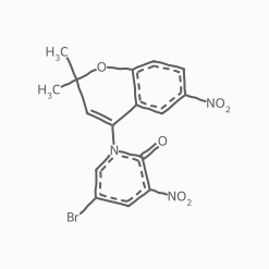 CC1(C)C=C(n2cc(Br)cc([N+](=O)[O-])c2=O)c2cc([N+](=O)[O-])ccc2O1